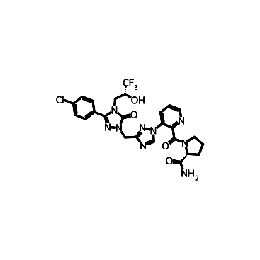 NC(=O)[C@@H]1CCCN1C(=O)c1ncccc1-n1cnc(Cn2nc(-c3ccc(Cl)cc3)n(C[C@@H](O)C(F)(F)F)c2=O)n1